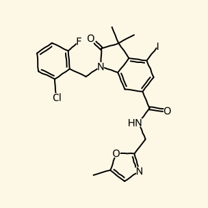 Cc1cnc(CNC(=O)c2cc(I)c3c(c2)N(Cc2c(F)cccc2Cl)C(=O)C3(C)C)o1